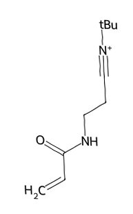 C=CC(=O)NCCC#[N+]C(C)(C)C